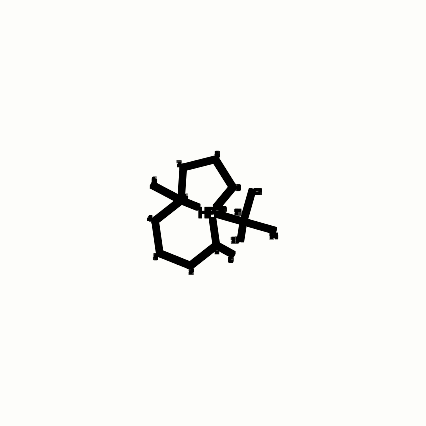 CC1CCCC2(C)CCC[PH]12C(C)(C)C